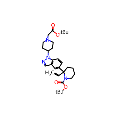 C=CC1(c2ccc3c(cnn3C3CCN(CC(=O)OC(C)(C)C)CC3)c2)CCCCN1C(=O)OC(C)(C)C